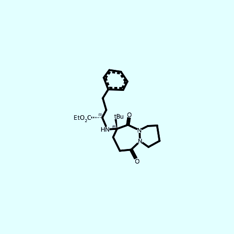 CCOC(=O)[C@H](CCc1ccccc1)N[C@@]1(C(C)(C)C)CCC(=O)N2CCCCN2C1=O